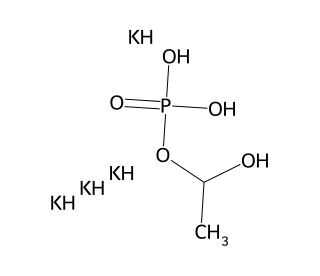 CC(O)OP(=O)(O)O.[KH].[KH].[KH].[KH]